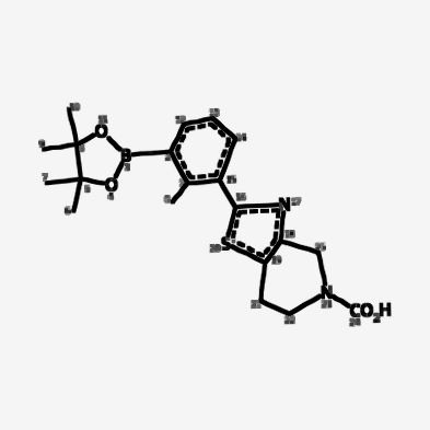 Cc1c(B2OC(C)(C)C(C)(C)O2)cccc1-c1nc2c(s1)CCN(C(=O)O)C2